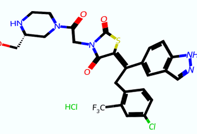 Cl.O=C(CN1C(=O)S/C(=C(/Cc2ccc(Cl)cc2C(F)(F)F)c2ccc3[nH]ncc3c2)C1=O)N1CCN[C@@H](CO)C1